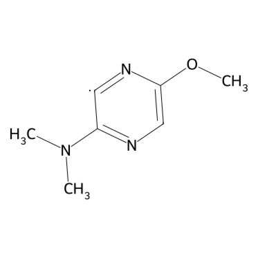 COc1cnc(N(C)C)[c]n1